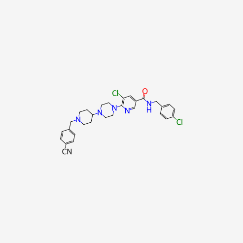 N#Cc1ccc(CN2CCC(N3CCN(c4ncc(C(=O)NCc5ccc(Cl)cc5)cc4Cl)CC3)CC2)cc1